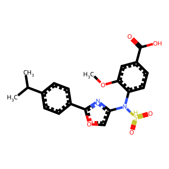 COc1cc(C(=O)O)ccc1N(c1coc(-c2ccc(C(C)C)cc2)n1)[SH](=O)=O